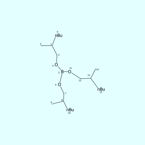 CCCCC(C)COB(OCC(C)CCCC)OCC(C)CCCC